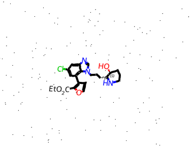 CCOC(=O)c1occc1-c1cc(Cl)cc2ncn(CCC[C@H]3NCCC[C@@H]3O)c12